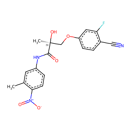 Cc1cc(NC(=O)[C@@](C)(O)COc2ccc(C#N)c(F)c2)ccc1[N+](=O)[O-]